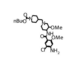 CCCCOC(=O)N1CCC(CN2CCC(NC(=O)c3cc(Cl)c(N)cc3OC)C(OC)C2)CC1